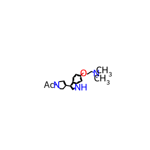 CC(=O)N1CC=C(c2c[nH]c3cc(OCCN(C)C)ccc23)CC1